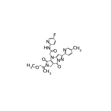 COC[C@H](C)N1Cc2c(n(CC(=O)Nc3ccc(F)cn3)c3cc(-c4ccc(C)cn4)nn3c2=O)C1=O